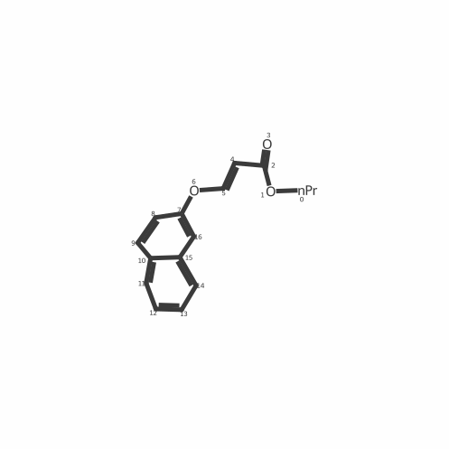 CCCOC(=O)C=COc1ccc2ccccc2c1